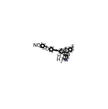 N#Cc1ccc(COc2ccc(C#Cc3ccc(C(F)(F)C(ON(N)/C=N\N)c4ccc(F)cc4F)nc3)cc2)cc1